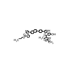 CCCCOC(=O)N1CCCC1n1cncc1-c1ccc2cc(-c3ccc(-c4c[nH]c([C@@H]5C[C@H](O)CN5C(=O)[C@@H](NC(=O)OC)C(C)C)n4)cc3)ccc2c1